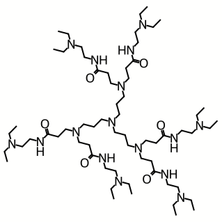 CCN(CC)CCNC(=O)CCN(CCCN(CCCN(CCC(=O)NCCN(CC)CC)CCC(=O)NCCN(CC)CC)CCCN(CCC(=O)NCCN(CC)CC)CCC(=O)NCCN(CC)CC)CCC(=O)NCCN(CC)CC